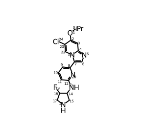 CC(C)Oc1cc2ncc(-c3cccc(NC4CNCC4F)n3)n2cc1Cl